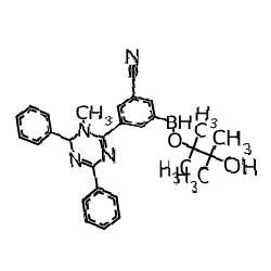 CN1C(c2cc(BOC(C)(C)C(C)(C)O)cc(C#N)c2)=NC(c2ccccc2)=NC1c1ccccc1